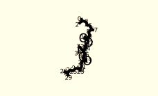 CC(C)CCCC(C)CCC(=O)OCCC(COC(=O)CCC(C)CCCC(C)C)N(C)C